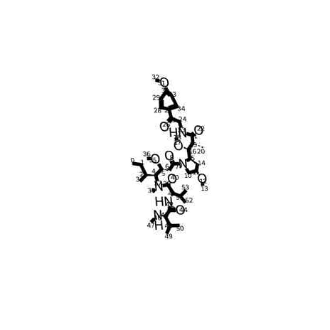 CCC(C)[C@@H]([C@@H](CC(=O)N1C[C@H](OC)C[C@@H]1[C@H](OC)[C@@H](C)C(=O)NCC(=O)c1ccc(OC)cc1)OC)N(C)C(=O)[C@@H](NC(=O)[C@@H](NC)C(C)C)C(C)C